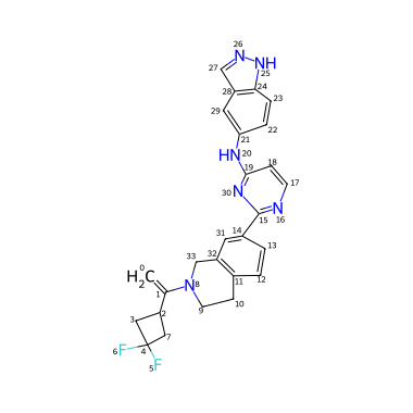 C=C(C1CC(F)(F)C1)N1CCc2ccc(-c3nccc(Nc4ccc5[nH]ncc5c4)n3)cc2C1